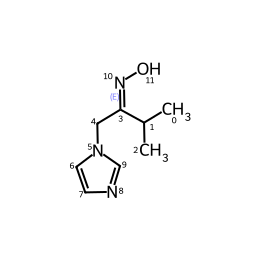 CC(C)/C(Cn1ccnc1)=N\O